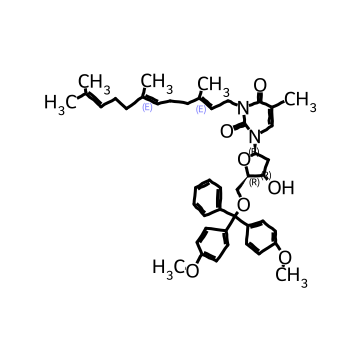 COc1ccc(C(OC[C@H]2O[C@@H](n3cc(C)c(=O)n(C/C=C(\C)CC/C=C(\C)CCC=C(C)C)c3=O)C[C@H]2O)(c2ccccc2)c2ccc(OC)cc2)cc1